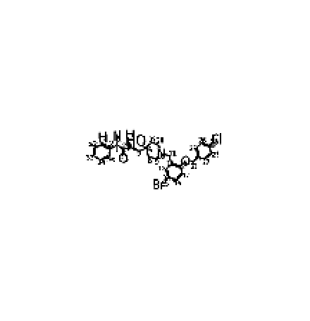 NC(C(=O)NCC1(O)CCN(Cc2cc(Br)ccc2OCc2ccc(Cl)cc2)CC1)c1ccccc1